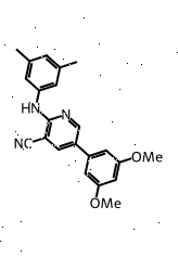 COc1cc(OC)cc(-c2cnc(Nc3cc(C)cc(C)c3)c(C#N)c2)c1